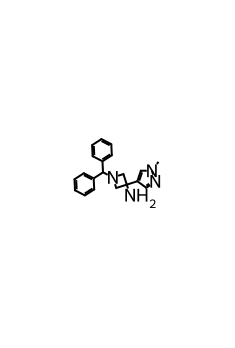 Cn1cc(C2(N)CN(C(c3ccccc3)c3ccccc3)C2)cn1